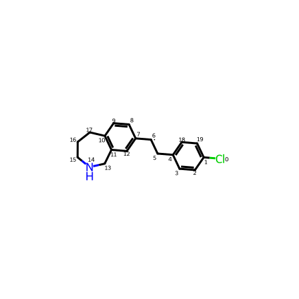 Clc1ccc(C[CH]c2ccc3c(c2)CNCCC3)cc1